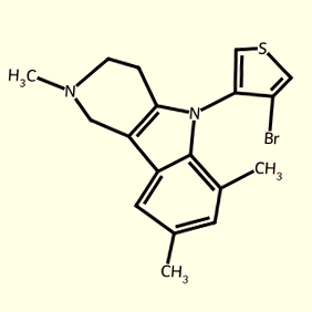 Cc1cc(C)c2c(c1)c1c(n2-c2cscc2Br)CCN(C)C1